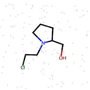 OCC1CCCN1CCCl